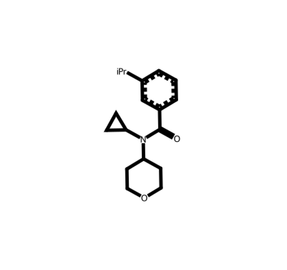 CC(C)c1cccc(C(=O)N(C2CCOCC2)C2CC2)c1